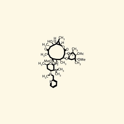 CO[C@]1(C)C[C@H](O[C@H]2[C@H](C)[C@@H](O[C@@H]3O[C@H](C)C[C@@H](N(C)Cc4ccccn4)[C@@H]3N(C)C)[C@@](C)(OC)C[C@@H](C)C(=O)[C@H](C)[C@@H](O)[C@@]3(O)C(C)[C@H]3OC(=O)[C@@H]2C)O[C@@H](C)[C@@H]1OC(C)=O